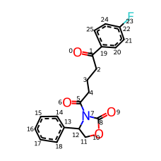 O=C(CCCC(=O)N1C(=O)OCC1c1ccccc1)c1ccc(F)cc1